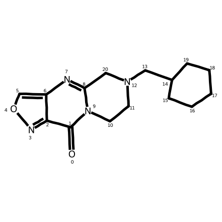 O=c1c2nocc2nc2n1CCN(CC1CCCCC1)C2